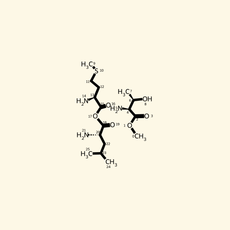 COC(=O)[C@@H](N)[C@@H](C)O.CSCC[C@H](N)C(=O)OC(=O)[C@@H](N)CC(C)C